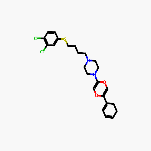 Clc1ccc(SCCCCN2CCN(C3=COC(C4=CC=CCC4)=CO3)CC2)cc1Cl